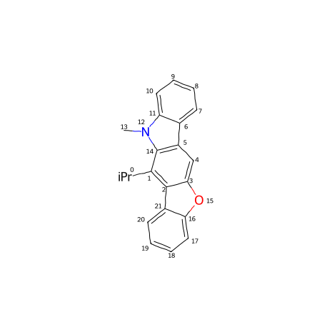 CC(C)c1c2c(cc3c4ccccc4n(C)c13)oc1ccccc12